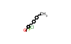 CCCC1CCC(C2CCC(CCc3ccc(C4CO4)c(F)c3Cl)CC2)CC1